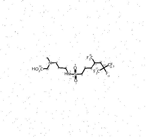 CN(CCCNS(=O)(=O)CCCC(CC(F)(C(F)(F)F)C(F)(F)F)C(F)(F)F)CC(=O)O